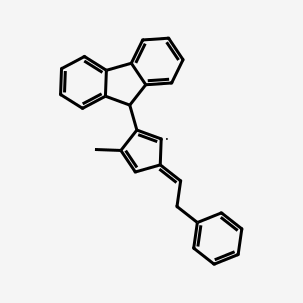 CC1=CC(=CCc2ccccc2)[C]=C1C1c2ccccc2-c2ccccc21